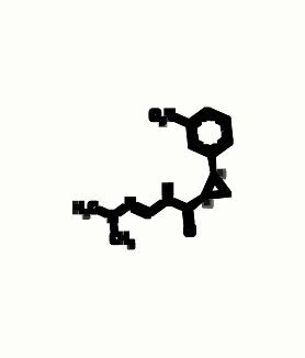 CN(C)N=CNC(=O)[C@@H]1C[C@@H]1c1cccc([N+](=O)[O-])c1